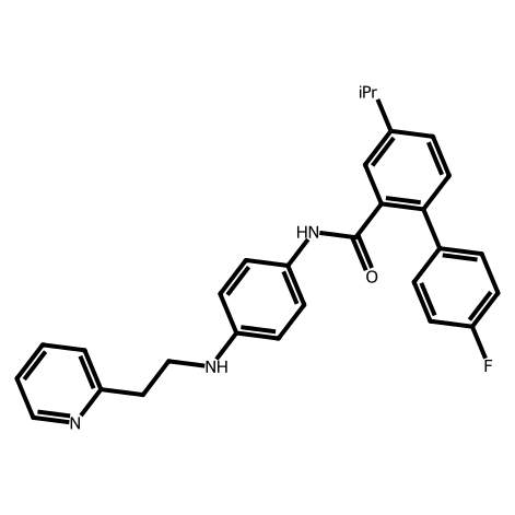 CC(C)c1ccc(-c2ccc(F)cc2)c(C(=O)Nc2ccc(NCCc3ccccn3)cc2)c1